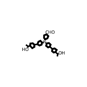 CC(O)c1ccc(-c2ccc(N(c3ccc(C=O)cc3)c3ccc(-c4ccc(C(C)O)cc4)cc3)cc2)cc1